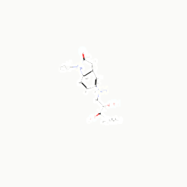 COC(=O)[C@H](O)CNc1ccc2c(c1)CC(=O)N2C(C)(C)C